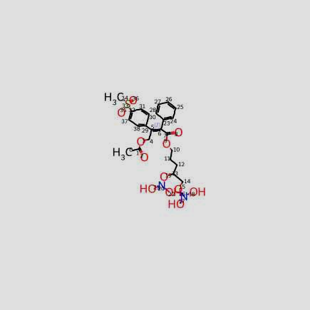 CC(=O)OC/C(=C(\C(=O)OCCCC(CON(O)O)ON(O)O)c1ccccc1)c1ccc(S(C)(=O)=O)cc1